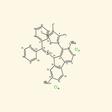 CC1=C(C)C(C)=C(c2c(C(C)(C)C)ccc3c2[CH]([Zr+2]=[C](c2ccccc2)c2ccccc2)c2cc(C(C)(C)C)ccc2-3)C1.[Cl-].[Cl-]